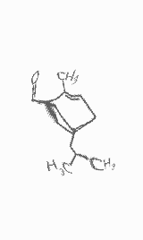 CC1=CC2CCC1(C=O)CC2C(C)C